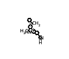 C=C(Nc1cc2cc(-c3cn[nH]c3)ccc2cn1)C1CCN(C(=C)c2ccccc2)CC1